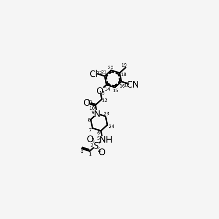 C=CS(=O)(=O)NC1CCN(C(=O)COc2cc(C#N)c(C)cc2Cl)CC1